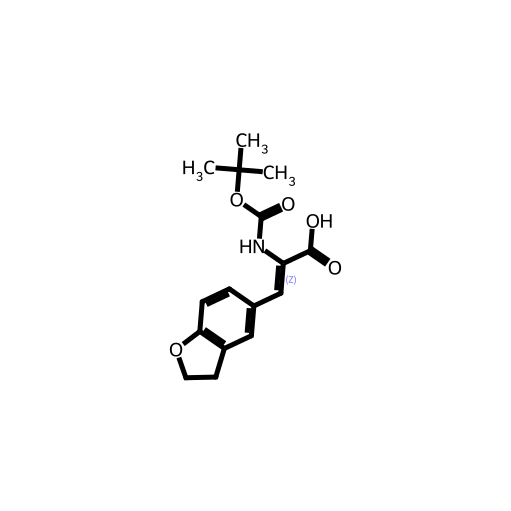 CC(C)(C)OC(=O)N/C(=C\c1ccc2c(c1)CCO2)C(=O)O